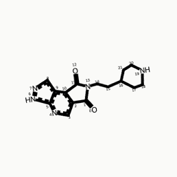 O=C1c2cnc3[nH]ncc3c2C(=O)N1CCC1CCNCC1